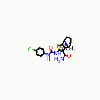 C[N+]1(C)C2CCC1c1sc(NC(=O)Nc3ccc(Cl)cc3)c(C(N)=O)c1C2